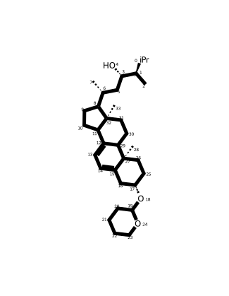 CC(C)[C@@H](C)[C@@H](O)C[C@@H](C)C1CCC2C3=CC=C4C[C@@H](OC5CCCCO5)CC[C@]4(C)C3CC[C@@]21C